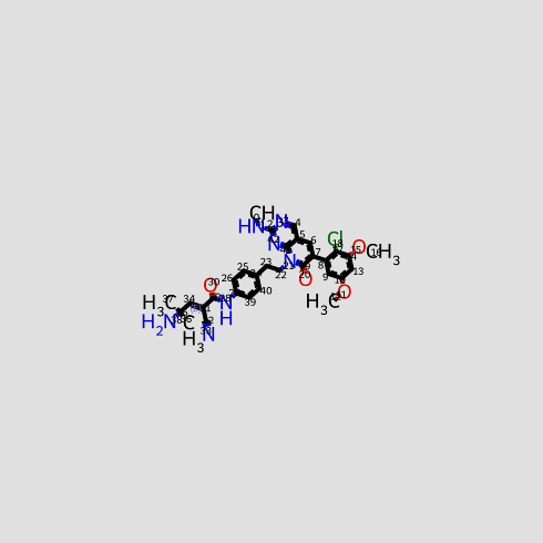 CNc1ncc2cc(-c3cc(OC)cc(OC)c3Cl)c(=O)n(CCc3ccc(NC(=O)/C(C#N)=C/C(C)(C)N)cc3)c2n1